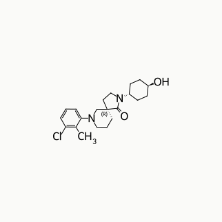 Cc1c(Cl)cccc1N1CCC[C@@]2(CCN([C@H]3CC[C@H](O)CC3)C2=O)C1